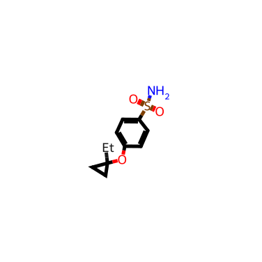 CCC1(Oc2ccc(S(N)(=O)=O)cc2)CC1